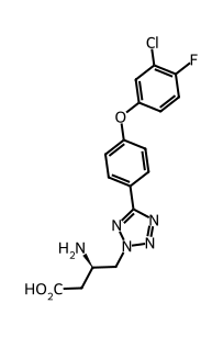 N[C@H](CC(=O)O)Cn1nnc(-c2ccc(Oc3ccc(F)c(Cl)c3)cc2)n1